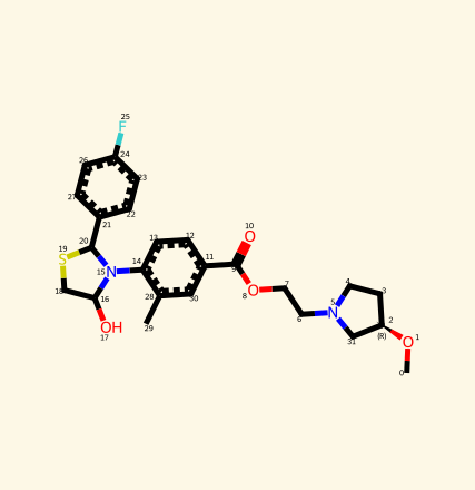 CO[C@@H]1CCN(CCOC(=O)c2ccc(N3C(O)CSC3c3ccc(F)cc3)c(C)c2)C1